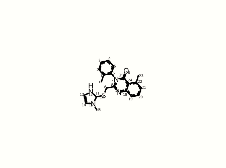 Cc1ccccc1-n1c(CSC2NC=CN2C)nc2cccc(C)c2c1=O